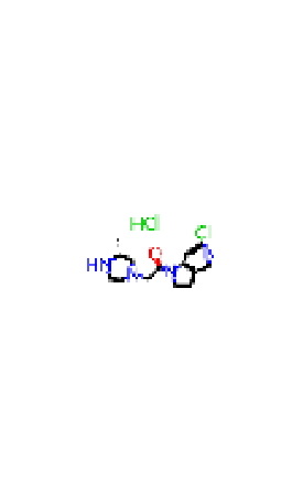 C[C@@H]1CN(CC(=O)N2CCc3cnc(Cl)cc32)CCN1.Cl